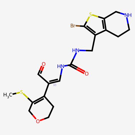 CSC1=C(/C(C=O)=C/NC(=O)NCc2c(Br)sc3c2CCNC3)CCOC1